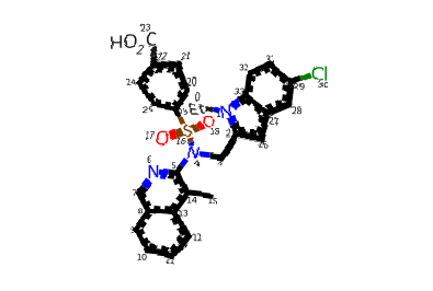 CCn1c(CN(c2ncc3ccccc3c2C)S(=O)(=O)c2ccc(C(=O)O)cc2)cc2cc(Cl)ccc21